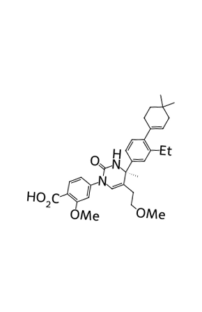 CCc1cc([C@]2(C)NC(=O)N(c3ccc(C(=O)O)c(OC)c3)C=C2CCOC)ccc1C1=CCC(C)(C)CC1